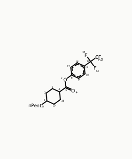 CCCCCC1CCC(C(=O)Oc2ccc(C(F)(F)C(F)(F)F)cc2)CC1